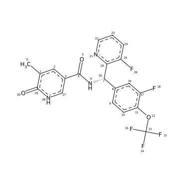 Cc1cc(C(=O)N[C@@H](c2ccc(OC(F)(F)F)c(F)c2)c2ncccc2F)c[nH]c1=O